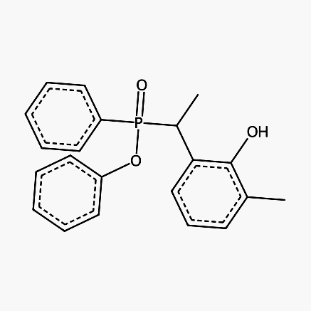 Cc1cccc(C(C)P(=O)(Oc2ccccc2)c2ccccc2)c1O